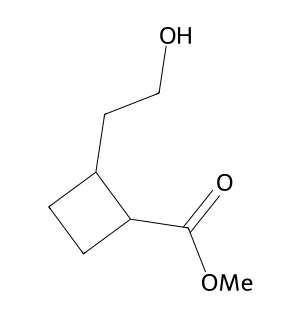 COC(=O)C1CCC1CCO